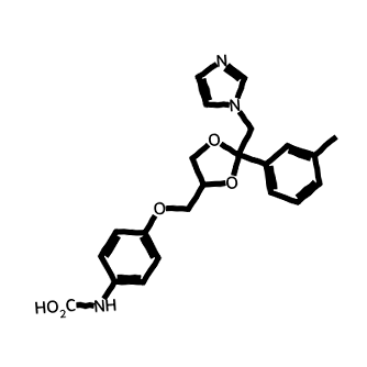 Cc1cccc(C2(Cn3ccnc3)OCC(COc3ccc(NC(=O)O)cc3)O2)c1